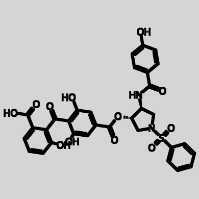 O=C(N[C@H]1CN(S(=O)(=O)c2ccccc2)C[C@@H]1OC(=O)c1cc(O)c(C(=O)c2c(O)cccc2C(=O)O)c(O)c1)c1ccc(O)cc1